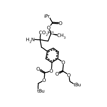 CC(C)C(=O)O[C@@H](C)CC(N)(Cc1ccc(OC(=O)OCC(C)(C)C)c(OC(=O)OCC(C)(C)C)c1)C(=O)O